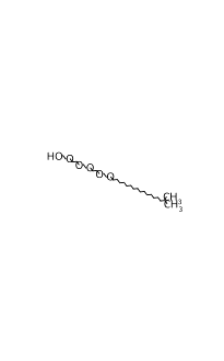 CC(C)CCCCCCCCCCCCCCCOCCOCCOCCOCCOCCO